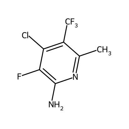 Cc1nc(N)c(F)c(Cl)c1C(F)(F)F